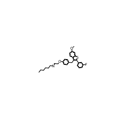 CCCCCCN=CCOc1ccc(Cc2c(-c3cccc(F)c3)sc3cc(OC)ccc23)cc1